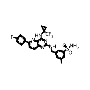 Cc1cc(CNc2nc(NC3(C(F)(F)F)CC3)c3nc(-c4ccc(F)cc4)ccc3n2)cc(S(N)(=O)=O)c1